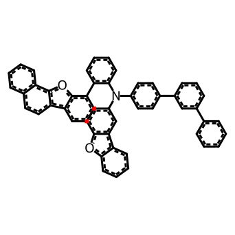 c1ccc(-c2cccc(-c3ccc(N(c4ccc5oc6ccccc6c5c4)c4ccccc4-c4cccc5c4oc4c6ccccc6ccc54)cc3)c2)cc1